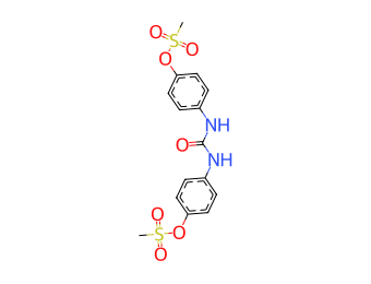 CS(=O)(=O)Oc1ccc(NC(=O)Nc2ccc(OS(C)(=O)=O)cc2)cc1